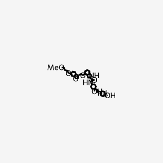 COCCCOc1ccc2c(COc3cccc4[nH]c(C(=O)NC5CCC(O)(CCN6CC[C@H](O)[C@@H](C)C6)CC5)cc34)coc2c1